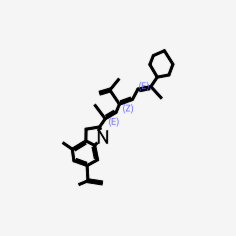 C=C(C)C(=C\C=C(/C)C1CCCCC1)/C=C(\C)C1=Nc2cc(C(=C)C)cc(C)c2C1